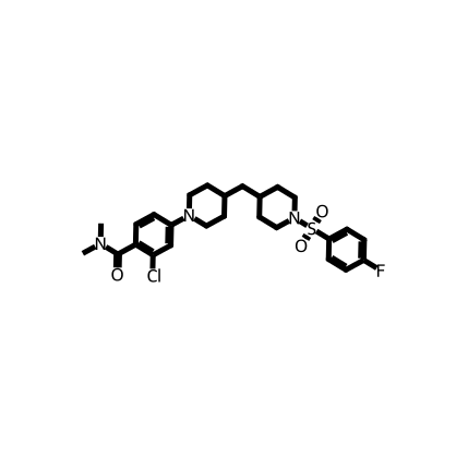 CN(C)C(=O)c1ccc(N2CCC(CC3CCN(S(=O)(=O)c4ccc(F)cc4)CC3)CC2)cc1Cl